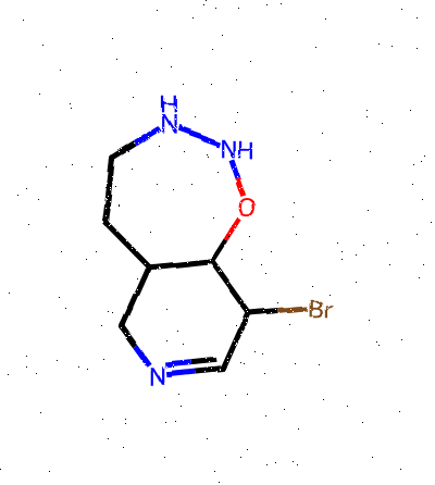 BrC1C=NCC2CCNNOC12